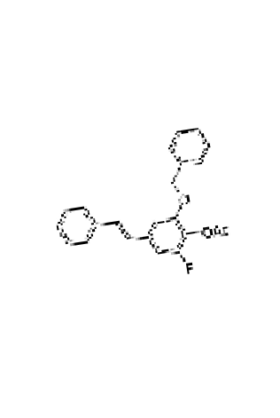 CC(=O)Oc1c(F)cc(C=Cc2ccccc2)cc1OCc1ccccc1